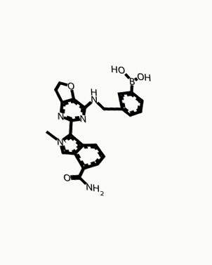 Cn1cc2c(C(N)=O)cccc2c1-c1nc2c(c(NCc3cccc(B(O)O)c3)n1)OCC2